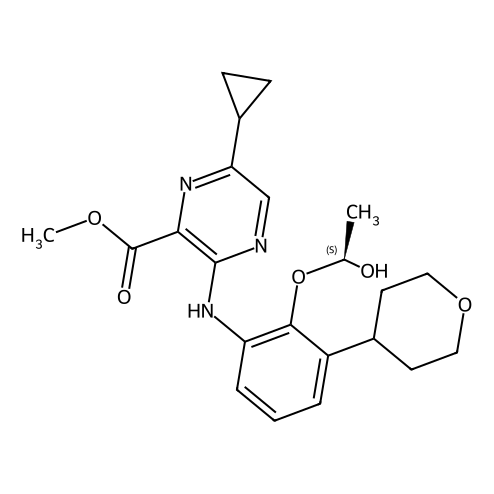 COC(=O)c1nc(C2CC2)cnc1Nc1cccc(C2CCOCC2)c1O[C@@H](C)O